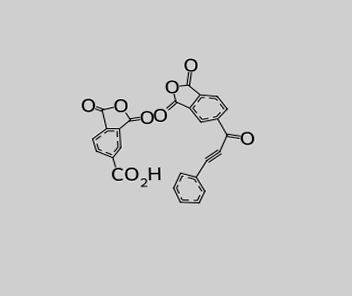 O=C(C#Cc1ccccc1)c1ccc2c(c1)C(=O)OC2=O.O=C(O)c1ccc2c(c1)C(=O)OC2=O